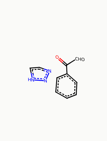 O=CC(=O)c1ccccc1.c1c[nH]nn1